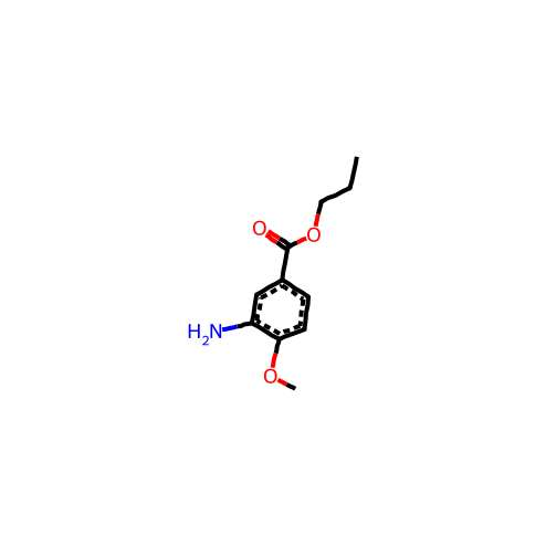 CCCOC(=O)c1ccc(OC)c(N)c1